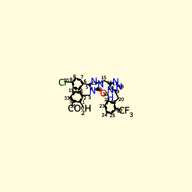 Cc1c(Cn2c(-c3ccc(Cl)cc3)nn(Cc3nnc(Cc4ccccc4C(F)(F)F)[nH]3)c2=O)cccc1C(=O)O